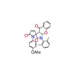 COc1ccc(N2C(=O)C=CC23C(=O)N(c2c(C)cccc2C)C2Oc4ccccc4C(=O)C23)cc1